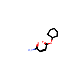 NC(=O)/C=C\C(=O)O[C]1CCCCC1